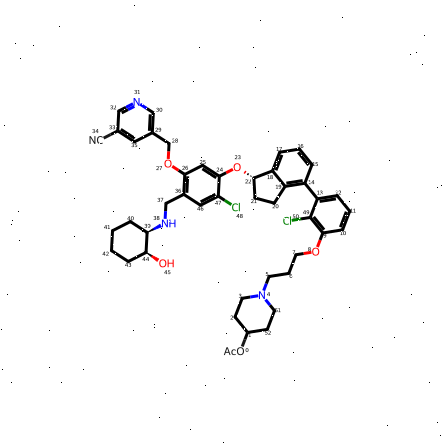 CC(=O)OC1CCN(CCCOc2cccc(-c3cccc4c3CC[C@@H]4Oc3cc(OCc4cncc(C#N)c4)c(CN[C@@H]4CCCC[C@@H]4O)cc3Cl)c2Cl)CC1